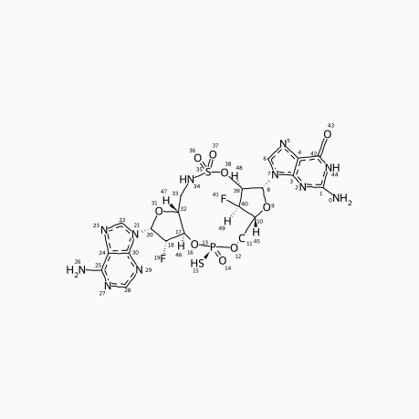 Nc1nc2c(ncn2[C@@H]2O[C@@H]3CO[P@@](=O)(S)O[C@H]4[C@H](F)[C@H](n5cnc6c(N)ncnc65)O[C@@H]4CNS(=O)(=O)O[C@@H]2[C@@H]3F)c(=O)[nH]1